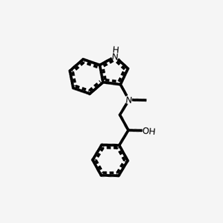 CN(CC(O)c1ccccc1)c1c[nH]c2ccccc12